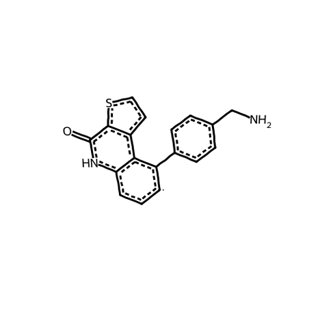 NCc1ccc(-c2[c]ccc3[nH]c(=O)c4sccc4c23)cc1